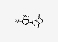 COc1cc(C(=O)ON2C(=O)CCC2=O)ccc1[N+](=O)[O-]